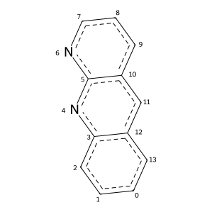 c1ccc2nc3ncccc3cc2c1